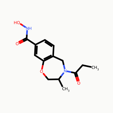 CCC(=O)N1Cc2ccc(C(=O)NO)cc2OCC1C